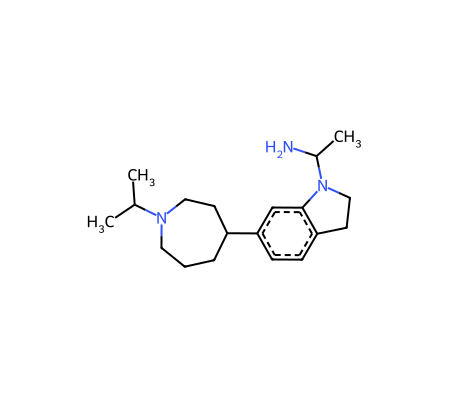 CC(C)N1CCCC(c2ccc3c(c2)N(C(C)N)CC3)CC1